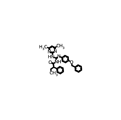 CCC(C(=O)N/C(=N\c1ccc(OCc2ccccc2)cc1)Nc1nc(C)cc(C)n1)c1ccccc1